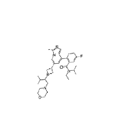 CCN(C(=O)c1cc(F)ccc1-c1cc(C2CN(C(CN3CCOCC3)C(C)C)C2)cn2c(C)ncc12)C(C)C